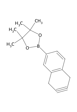 CC1(C)OB(c2ccc3c(c2)CC#CC3)OC1(C)C